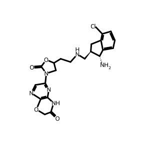 N[C@H]1c2cccc(Cl)c2C[C@@H]1CNCCC1CN(c2cnc3c(n2)NC(=O)CO3)C(=O)O1